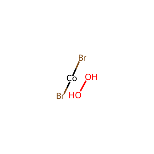 OO.[Br][Co][Br]